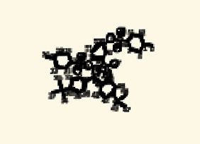 Cc1ccc(S(=O)(=O)Oc2ccc(OS(=O)(=O)c3ccc(C)cc3)c(S(=O)(=O)O[I+](c3ccc(C(C)(C)C)cc3)c3ccc(C(C)(C)C)cc3)c2)cc1